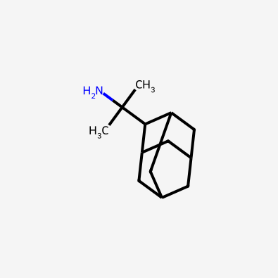 CC(C)(N)C1C2CC3CC(C2)CC1C3